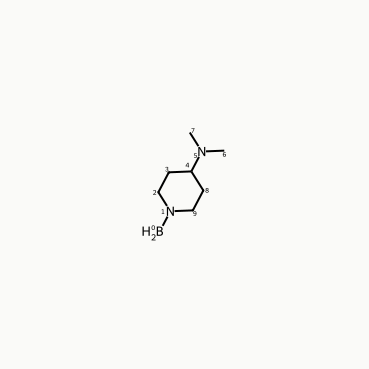 BN1CCC(N(C)C)CC1